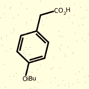 CC(C)COc1ccc(CC(=O)O)cc1